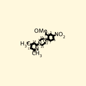 COCc1cc([N+](=O)[O-])ccc1N1CCN(c2cc(C)cc(C)n2)CC1